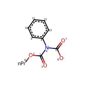 CCCOC(=O)N(C([O])=O)c1ccccc1